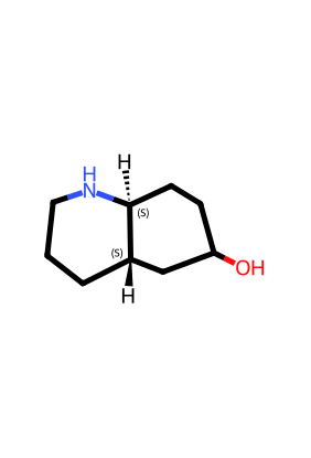 OC1CC[C@@H]2NCCC[C@H]2C1